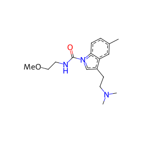 COCCNC(=O)n1cc(CCN(C)C)c2cc(C)ccc21